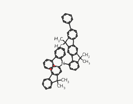 CC1(C)c2ccccc2-c2ccc(N(c3ccccc3-c3ccccc3)c3cccc4c3-c3cc5c(cc3C4(C)C)-c3ccc(-c4ccccc4)cc3C5(C)C)cc21